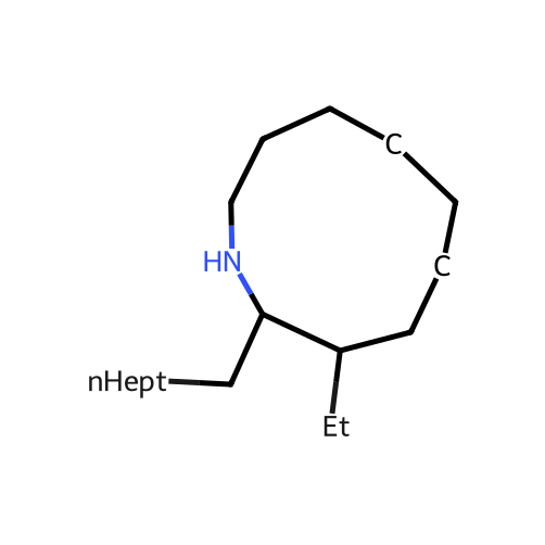 CCCCCCCCC1NCCCCCCCC1CC